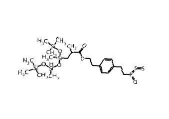 CC(C[Si](C)(O[SiH](C)O[Si](C)(C)C)O[Si](C)(C)C)C(=O)OCCc1ccc(CCP(=O)=S=S)cc1